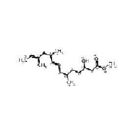 C/C=C(\C)CC(C)/C=C/CC(C)CCC(O)CC(=O)OC